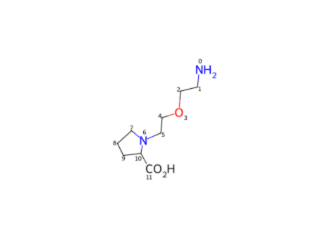 NCCOCCN1CCCC1C(=O)O